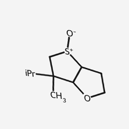 CC(C)C1(C)C[S+]([O-])C2CCOC21